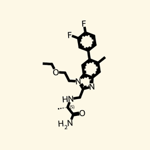 CCOCCn1c(CN[C@@H](C)C(N)=O)nc2cc(C)c(-c3ccc(F)c(F)c3)cc21